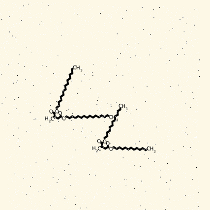 C=C(CC(=O)OCCCCCCCCCCCCC)C(=O)OCCCCCCCCCCCCC.C=C(CC(=O)OCCCCCCCCCCCCCCCC)C(=O)OCCCCCCCCCCCCCCCC